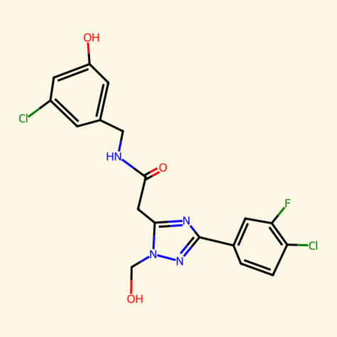 O=C(Cc1nc(-c2ccc(Cl)c(F)c2)nn1CO)NCc1cc(O)cc(Cl)c1